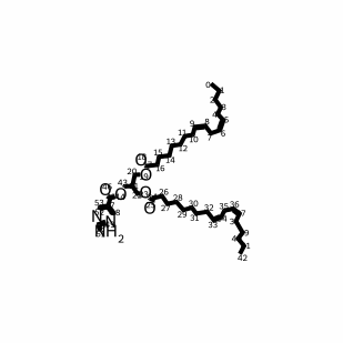 CCCCC/C=C\C/C=C\CCCCCCCC(=O)OCC(COC(=O)CCCCCCC/C=C\C/C=C\CCCCC)COC(=O)c1cnc(N)nc1